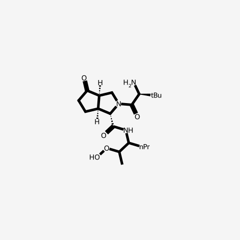 CCCC(NC(=O)[C@@H]1[C@H]2CCC(=O)[C@H]2CN1C(=O)[C@@H](N)C(C)(C)C)C(C)OO